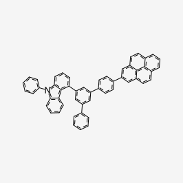 c1ccc(-c2cc(-c3ccc(-c4cc5ccc6cccc7ccc(c4)c5c67)cc3)cc(-c3cccc4c3c3ccccc3n4-c3ccccc3)c2)cc1